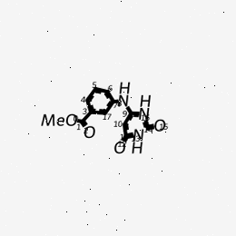 COC(=O)c1cccc(Nc2cc(=O)[nH]c(=O)[nH]2)c1